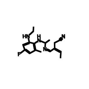 C/C=C(\C=N/C(C)Nc1c(C)cc(F)cc1NCC)CC#N